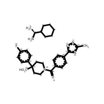 C[C@H](N)C1CCCCC1.Cc1noc(-c2ccc(C(=O)N3CCC(C(=O)O)(c4ccc(F)cc4)CC3)cc2)n1